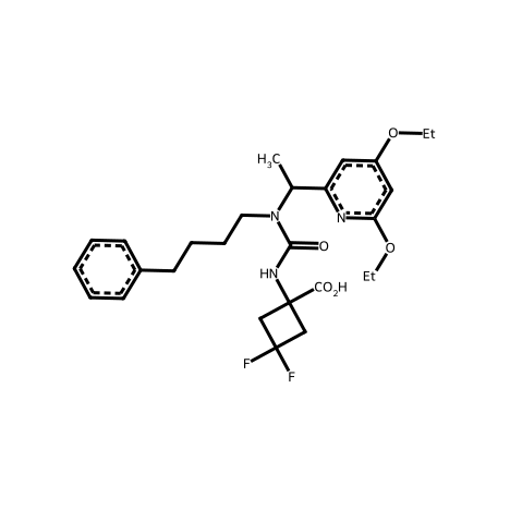 CCOc1cc(OCC)nc(C(C)N(CCCCc2ccccc2)C(=O)NC2(C(=O)O)CC(F)(F)C2)c1